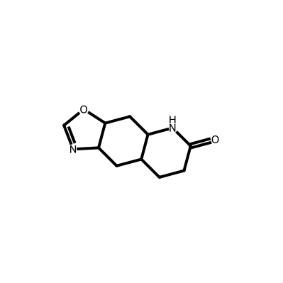 O=C1CCC2CC3N=COC3CC2N1